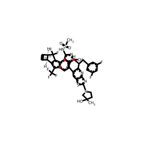 Cn1nc(NS(C)(=O)=O)c2cccc(-c3cc4sc(N5CCC(C)(O)C5)nc4nc3C(Cc3cc(F)cc(F)c3)NC(=O)Cn3nc(C(F)(F)F)c4c3C(F)(F)[C@@H]3C#C[C@H]43)c21